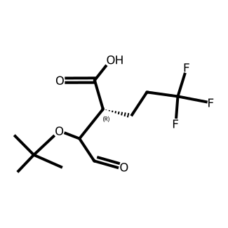 CC(C)(C)OC(C=O)[C@@H](CCC(F)(F)F)C(=O)O